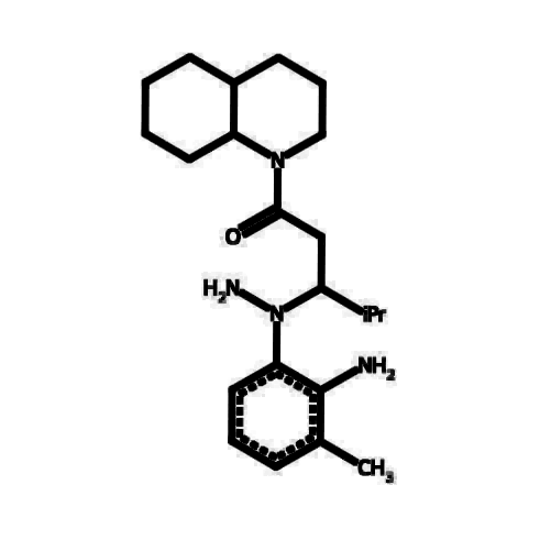 Cc1cccc(N(N)C(CC(=O)N2CCCC3CCCCC32)C(C)C)c1N